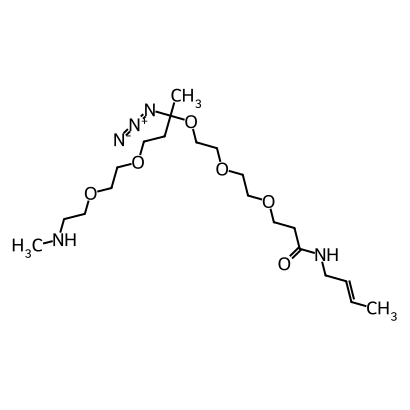 C/C=C/CNC(=O)CCOCCOCCOC(C)(CCOCCOCCNC)N=[N+]=[N-]